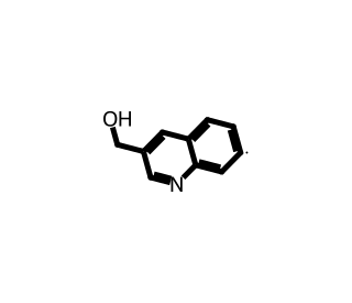 OCc1cnc2c[c]ccc2c1